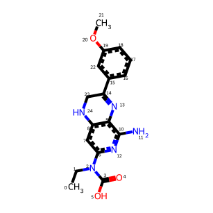 CCN(C(=O)O)c1cc2c(c(N)n1)N=C(c1cccc(OC)c1)CN2